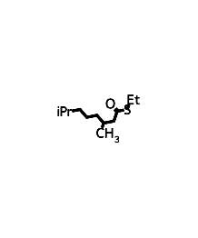 [CH2]CSC(=O)CC(C)CCCC(C)C